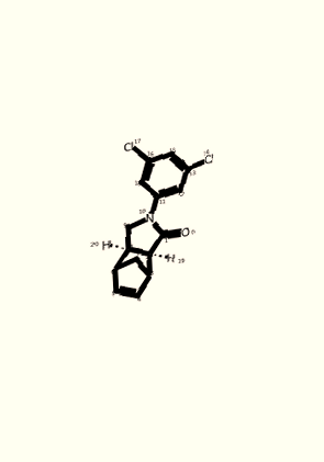 O=C1[C@H]2C3C=CC(C3)[C@H]2CN1c1cc(Cl)cc(Cl)c1